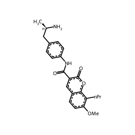 CCCc1c(OC)ccc2cc(C(=O)Nc3ccc(C[C@@H](C)N)cc3)c(=O)oc12